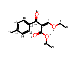 CCOC=C(C(=O)OCC)C(=O)c1ccc(C)cc1